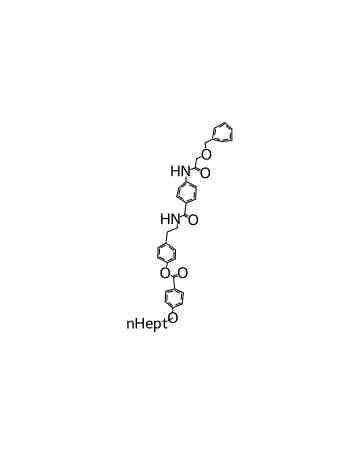 CCCCCCCOc1ccc(C(=O)Oc2ccc(CCNC(=O)c3ccc(NC(=O)COCc4ccccc4)cc3)cc2)cc1